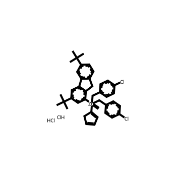 Cl.Cl.[CH2]=[Zr]([CH2]c1ccc(Cl)cc1)([CH2]c1ccc(Cl)cc1)([C]1=CC=CC1)[c]1cc(C(C)(C)C)cc2c1Cc1ccc(C(C)(C)C)cc1-2